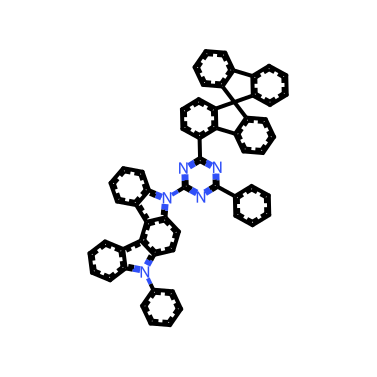 c1ccc(-c2nc(-c3cccc4c3-c3ccccc3C43c4ccccc4-c4ccccc43)nc(-n3c4ccccc4c4c5c6ccccc6n(-c6ccccc6)c5ccc43)n2)cc1